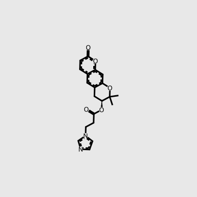 CC1(C)Oc2cc3oc(=O)ccc3cc2C[C@@H]1OC(=O)CCn1ccnc1